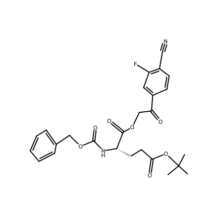 CC(C)(C)OC(=O)CC[C@H](NC(=O)OCc1ccccc1)C(=O)OCC(=O)c1ccc(C#N)c(F)c1